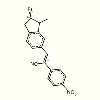 CC[C@@H]1Cc2ccc(/C=C(\C#N)c3ccc([N+](=O)[O-])cc3)cc2C1C